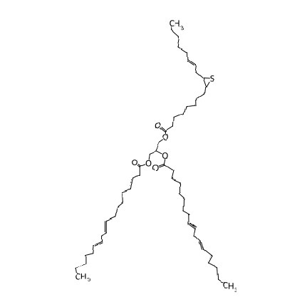 CCCCC/C=C/C/C=C/CCCCCCCC(=O)OCC(COC(=O)CCCCCCCC1SC1C/C=C/CCCCC)OC(=O)CCCCCCC/C=C/C/C=C/CCCCC